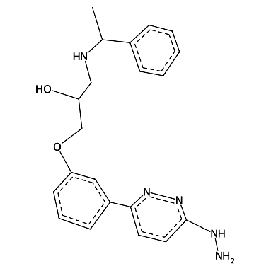 CC(NCC(O)COc1cccc(-c2ccc(NN)nn2)c1)c1ccccc1